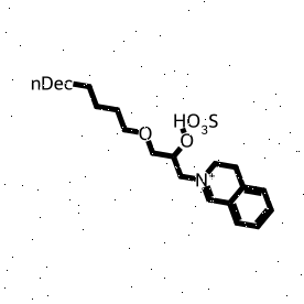 CCCCCCCCCCCCCCOCC(C[N+]1=Cc2ccccc2CC1)OS(=O)(=O)O